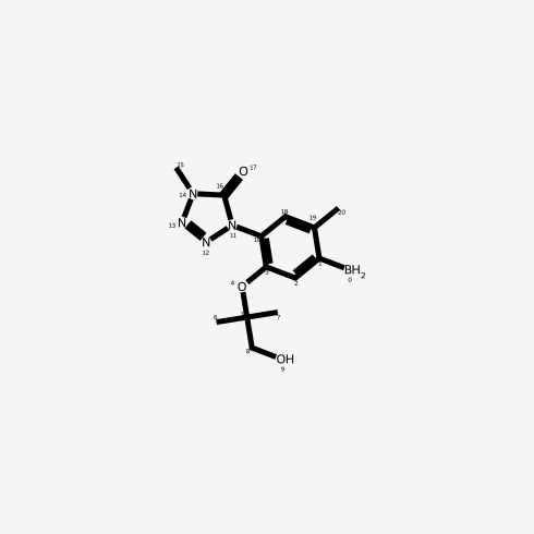 Bc1cc(OC(C)(C)CO)c(-n2nnn(C)c2=O)cc1C